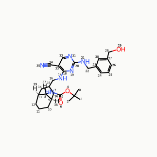 CC(C)(C)OC(=O)N[C@@H]1[C@@H]2CCC[C@H]1CC(CNc1nc(NCc3cccc(CO)c3)ncc1C#N)C2